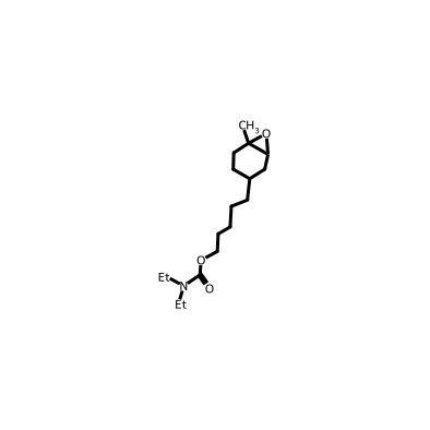 CCN(CC)C(=O)OCCCCCC1CCC2(C)OC2C1